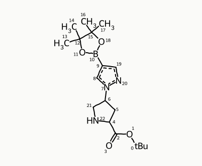 CC(C)(C)OC(=O)C1CC(n2cc(B3OC(C)(C)C(C)(C)O3)cn2)CN1